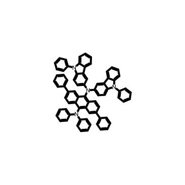 c1ccc(-c2ccc3c(N(c4ccc5c(c4)c4ccccc4n5-c4ccccc4)c4ccc5c(c4)c4ccccc4n5-c4ccccc4)c4cc(-c5ccccc5)ccc4c(N(c4ccccc4)c4ccccc4)c3c2)cc1